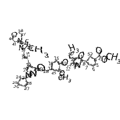 COC(=O)c1cccc(-c2nc(COc3ccc(COc4nn(-c5ccccc5)cc4/C=C/c4nc(N5CCOCC5)sc4C)cc3OC)c(C)o2)c1